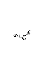 C=C=NCc1cccc(CN=C=O)c1